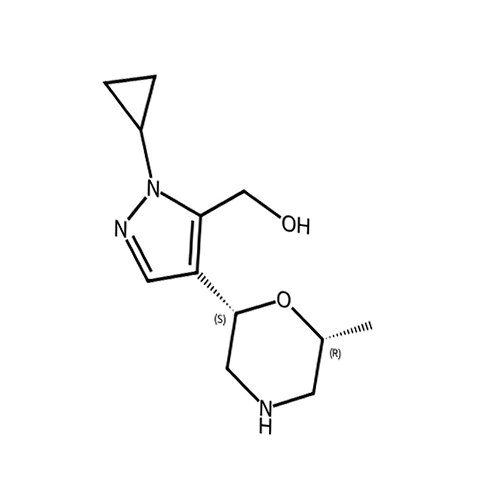 C[C@@H]1CNC[C@H](c2cnn(C3CC3)c2CO)O1